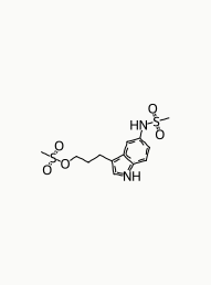 CS(=O)(=O)Nc1ccc2[nH]cc(CCCOS(C)(=O)=O)c2c1